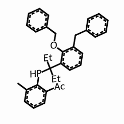 CCC(CC)(Pc1c(C)cccc1C(C)=O)c1cccc(Cc2ccccc2)c1OCc1ccccc1